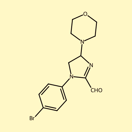 O=CC1=NC(N2CCOCC2)CN1c1ccc(Br)cc1